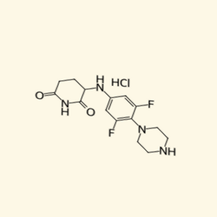 Cl.O=C1CCC(Nc2cc(F)c(N3CCNCC3)c(F)c2)C(=O)N1